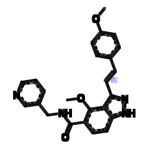 COc1ccc(/C=C/c2n[nH]c3ccc(C(=O)NCc4cccnc4)c(OC)c23)cc1